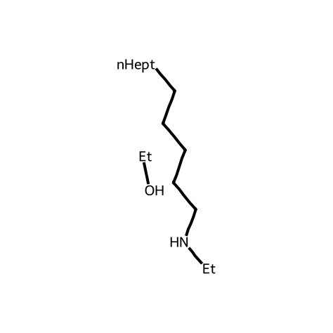 CCCCCCCCCCCCNCC.CCO